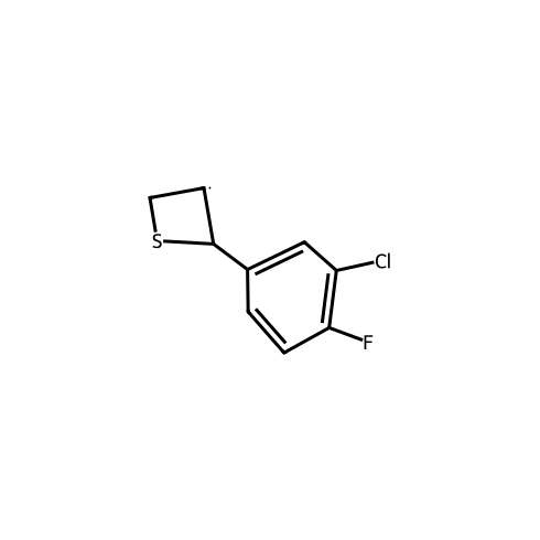 Fc1ccc(C2[CH]CS2)cc1Cl